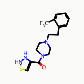 O=C(C1=CSNN1)N1CCN(CCc2ccccc2C(F)(F)F)CC1